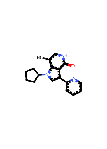 N#Cc1c[nH]c(=O)c2c(-c3ccccn3)cn(C3CCCC3)c12